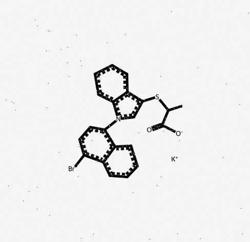 CC(Sc1cn(-c2ccc(Br)c3ccccc23)c2ccccc12)C(=O)[O-].[K+]